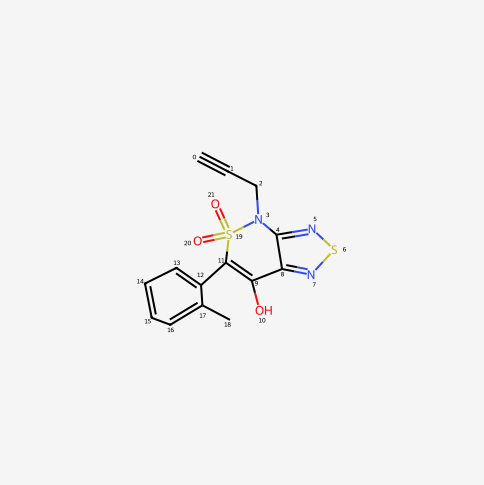 C#CCN1c2nsnc2C(O)=C(c2ccccc2C)S1(=O)=O